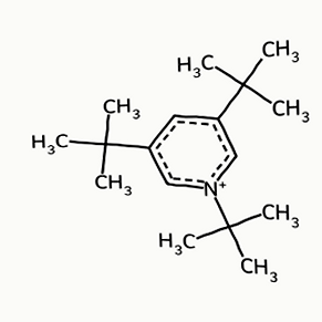 CC(C)(C)c1cc(C(C)(C)C)c[n+](C(C)(C)C)c1